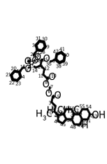 C[C@H](CCC(=O)OCOC(=O)CCC(CP(=O)(OCc1ccccc1)OCc1ccccc1)C(=O)OCc1ccccc1)C1CCC2C3CC[C@@H]4C[C@H](O)CC[C@]4(C)C3CC[C@@]21C